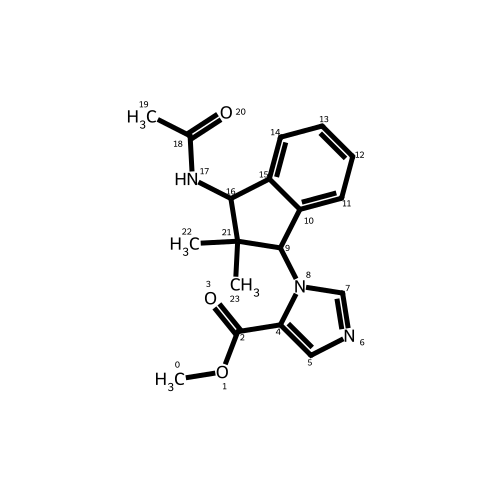 COC(=O)c1cncn1C1c2ccccc2C(NC(C)=O)C1(C)C